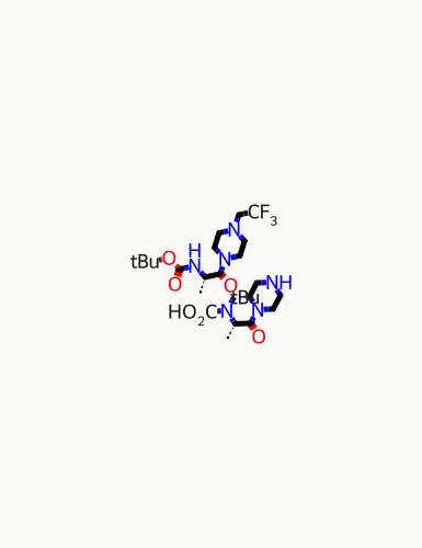 C[C@@H](C(=O)N1CCNCC1)N(C(=O)O)C(C)(C)C.C[C@H](NC(=O)OC(C)(C)C)C(=O)N1CCN(CC(F)(F)F)CC1